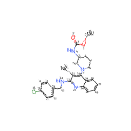 CC(C)(C)OC(=O)NC1CCCN(c2c(C#N)c(NCc3ccc(Cl)cc3)nc3ccccc23)C1